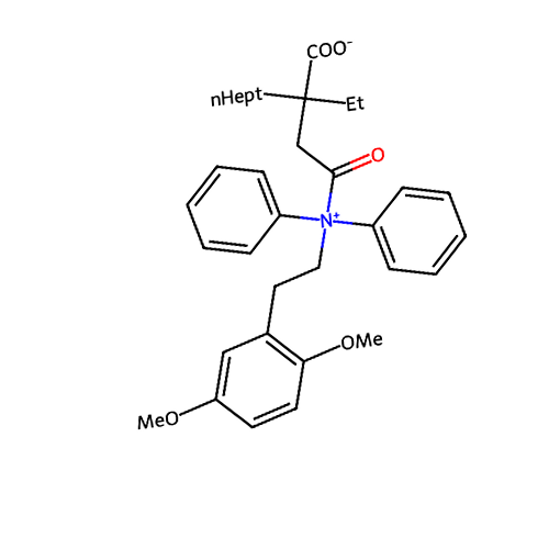 CCCCCCCC(CC)(CC(=O)[N+](CCc1cc(OC)ccc1OC)(c1ccccc1)c1ccccc1)C(=O)[O-]